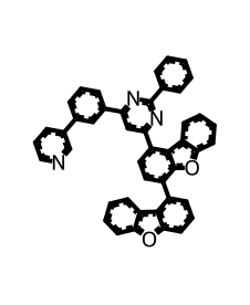 c1ccc(-c2nc(-c3cccc(-c4cccnc4)c3)cc(-c3ccc(-c4cccc5oc6ccccc6c45)c4oc5ccccc5c34)n2)cc1